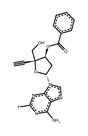 C#C[C@]1(CO)O[C@@H](n2cnc3c(N)nc(F)nc32)C[C@@H]1OC(=O)c1ccccc1